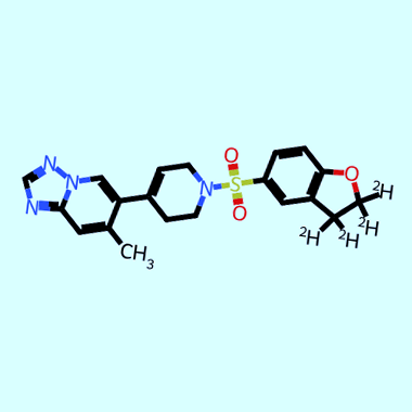 [2H]C1([2H])Oc2ccc(S(=O)(=O)N3CC=C(c4cn5ncnc5cc4C)CC3)cc2C1([2H])[2H]